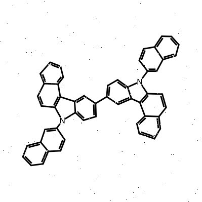 c1ccc2cc(-n3c4ccc(-c5ccc6c(c5)c5c7ccccc7ccc5n6-c5ccc6ccccc6c5)cc4c4c5ccccc5ccc43)ccc2c1